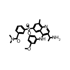 COc1cccc(Nc2c(C(C)N)cnc3c(C)cc(S(=O)(=O)c4cccc(C(=O)N(C)C)c4)cc23)c1